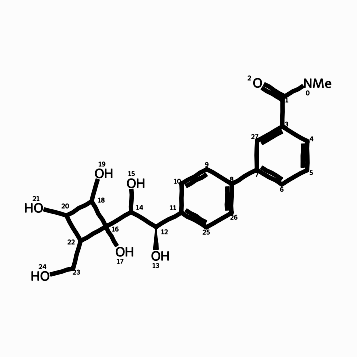 CNC(=O)c1cccc(-c2ccc([C@@H](O)C(O)C3(O)C(O)C(O)C3CO)cc2)c1